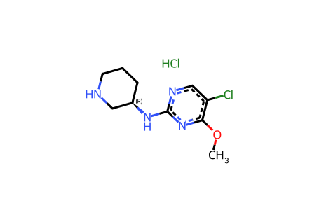 COc1nc(N[C@@H]2CCCNC2)ncc1Cl.Cl